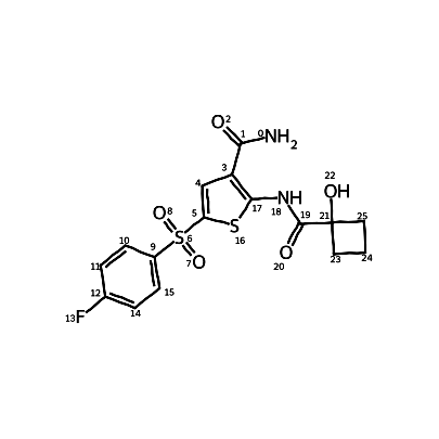 NC(=O)c1cc(S(=O)(=O)c2ccc(F)cc2)sc1NC(=O)C1(O)CCC1